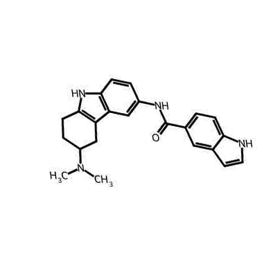 CN(C)C1CCc2[nH]c3ccc(NC(=O)c4ccc5[nH]ccc5c4)cc3c2C1